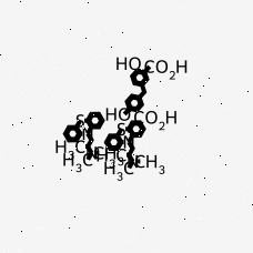 CC(CN1c2ccccc2Sc2ccccc21)N(C)C.CC(CN1c2ccccc2Sc2ccccc21)N(C)C.O=C(O)c1cc(Cc2ccc(O)c(C(=O)O)c2)ccc1O